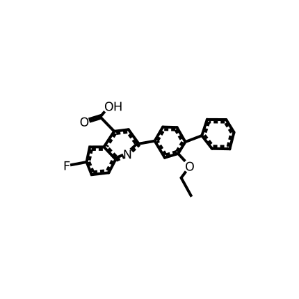 CCOc1cc(-c2cc(C(=O)O)c3cc(F)ccc3n2)ccc1-c1ccccc1